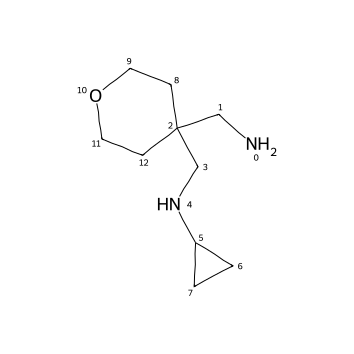 NCC1(CNC2CC2)CCOCC1